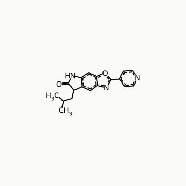 CC(C)CC1C(=O)Nc2cc3oc(-c4ccncc4)nc3cc21